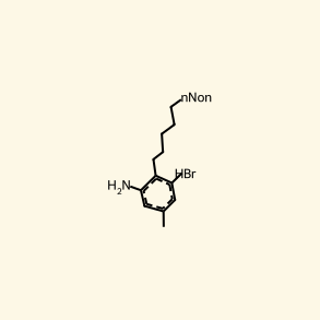 Br.CCCCCCCCCCCCCCc1c(C)cc(C)cc1N